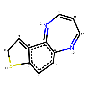 C1=CN=c2c(ccc3c2=CCS3)N=C1